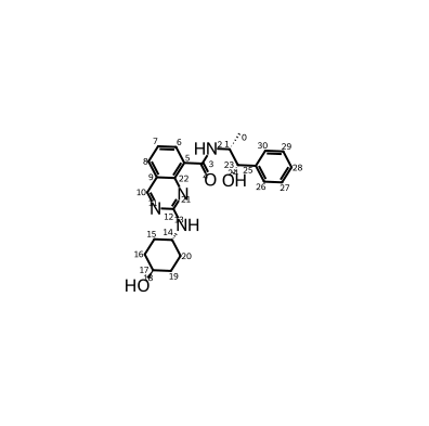 C[C@@H](NC(=O)c1cccc2cnc(N[C@H]3CC[C@H](O)CC3)nc12)[C@@H](O)c1ccccc1